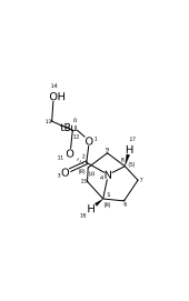 CC(C)(C)OC(=O)N1[C@@H]2CC[C@H]1C[C@@H](OCCO)C2